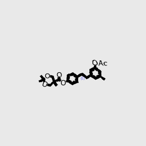 CC(=O)Oc1cc(C)cc(/C=C/c2ccc(OC(=O)C3(C)COC(C)(C)OC3)cc2)c1